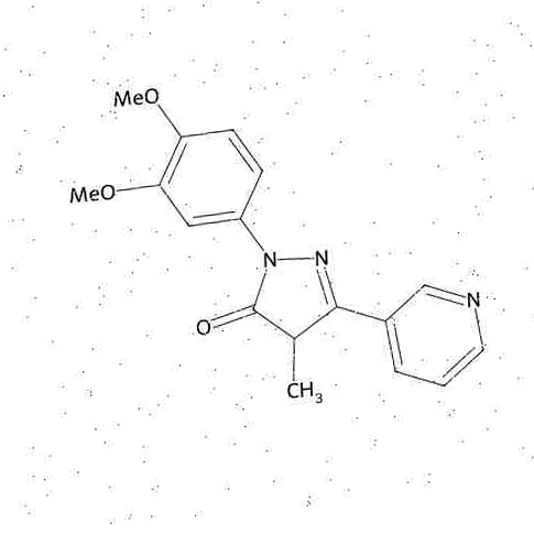 COc1ccc(N2N=C(c3cccnc3)C(C)C2=O)cc1OC